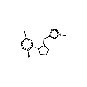 Cn1cnc([CH]N2CCC[C@@H]2c2cc(F)ccc2F)c1